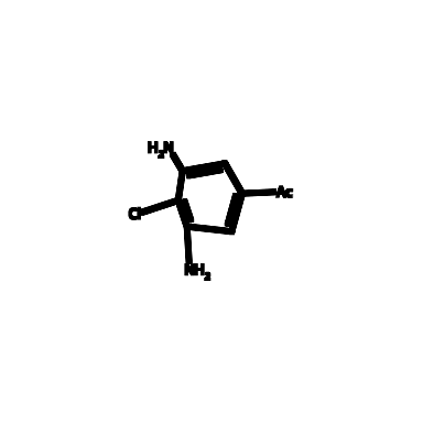 CC(=O)c1cc(N)c(Cl)c(N)c1